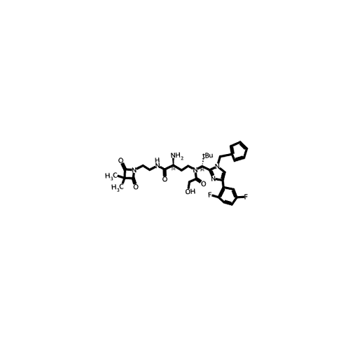 CC1(C)C(=O)N(CCNC(=O)[C@@H](N)CCN(C(=O)CO)[C@@H](c2nc(-c3cc(F)ccc3F)cn2Cc2ccccc2)C(C)(C)C)C1=O